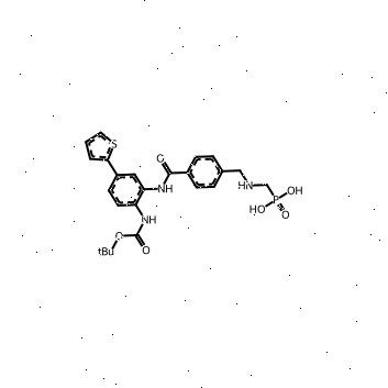 CC(C)(C)OC(=O)Nc1ccc(-c2cccs2)cc1NC(=O)c1ccc(CNCP(=O)(O)O)cc1